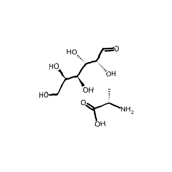 C[C@H](N)C(=O)O.O=C[C@H](O)[C@@H](O)[C@@H](O)[C@H](O)CO